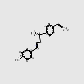 C=Cc1ccc(C(C)C/C=C/c2ccc(O)cc2)cc1